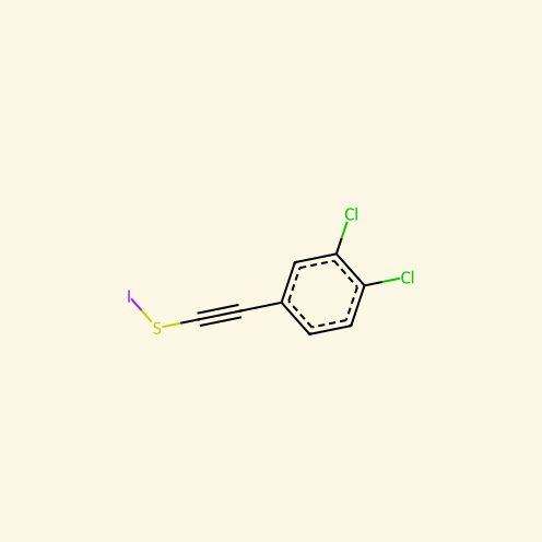 Clc1ccc(C#CSI)cc1Cl